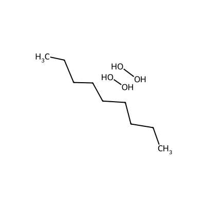 CCCCCCCCC.OO.OO